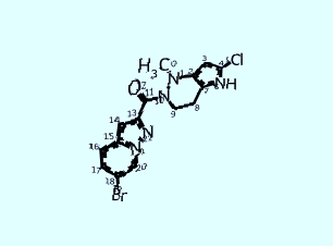 CN1c2cc(Cl)[nH]c2CCN1C(=O)c1cc2ccc(Br)cn2n1